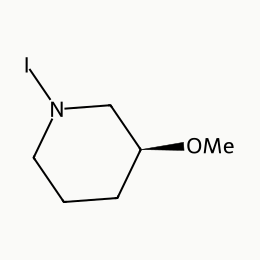 CO[C@H]1CCCN(I)C1